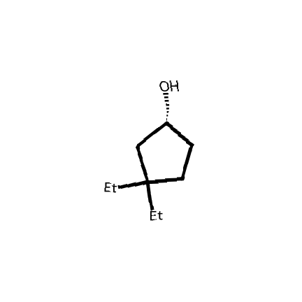 CCC1(CC)CC[C@@H](O)C1